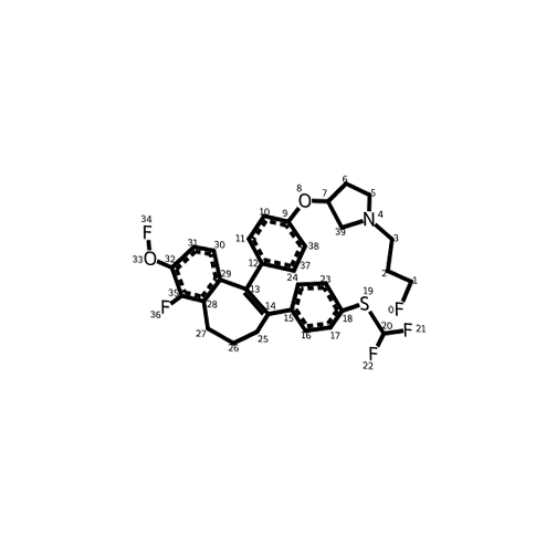 FCCCN1CCC(Oc2ccc(C3=C(c4ccc(SC(F)F)cc4)CCCc4c3ccc(OF)c4F)cc2)C1